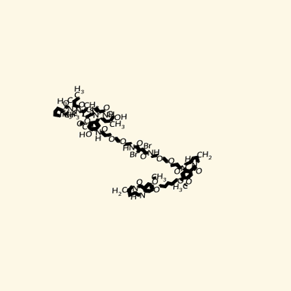 C=C1C[C@H]2CN(C(=O)CCOCCOCCNC(=O)C(Br)C(Br)C(=O)NCCOCCOCCC(=O)Nc3cc(C[C@@H](CC(C)C(=O)O)NC(=O)c4csc([C@@H](C[C@H](C(C)C)N(C)C(=O)[C@@H](NC(=O)[C@H]5CCCCN5C)[C@@H](C)CC)OC(C)=O)n4)ccc3O)c3cc(OCCCCCOc4cc5c(cc4OC)C(=O)N4CC(=C)C[C@H]4C=N5)c(OC)cc3C(=O)N2C1